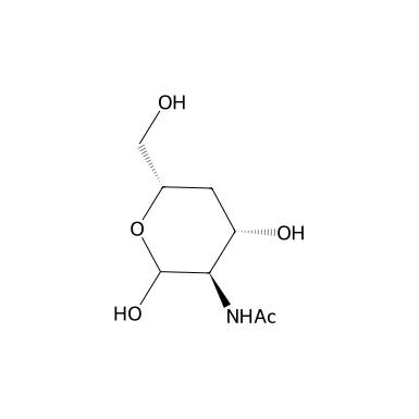 CC(=O)N[C@H]1C(O)O[C@H](CO)C[C@@H]1O